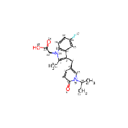 Cc1c(Cc2ccc(=O)n(C(C)C)c2)c2cc(F)ccc2n1CC(=O)O